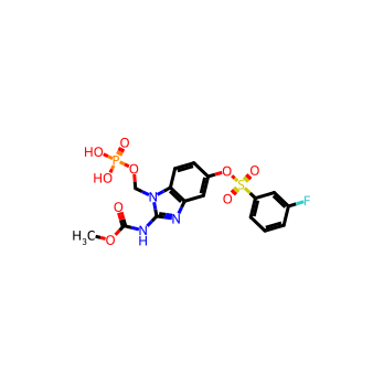 COC(=O)Nc1nc2cc(OS(=O)(=O)c3cccc(F)c3)ccc2n1COP(=O)(O)O